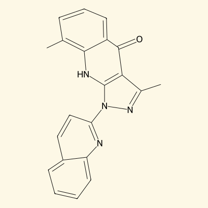 Cc1cccc2c(=O)c3c(C)nn(-c4ccc5ccccc5n4)c3[nH]c12